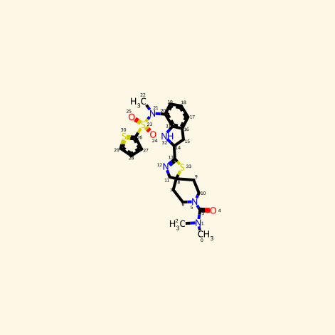 CN(C)C(=O)N1CCC2(CC1)CN=C(C1Cc3cccc(N(C)S(=O)(=O)c4cccs4)c3N1)S2